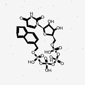 O=c1ccn([C@@H]2O[C@H](COP(=O)(O)OP(=O)(O)OP(=O)(O)OP(=O)(O)OCc3ccc4ccccc4c3)C(O)[C@@H]2O)c(=O)[nH]1